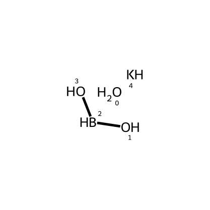 O.OBO.[KH]